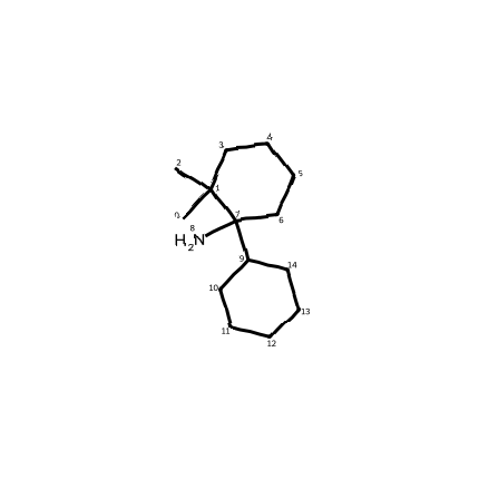 CC1(C)CCCCC1(N)C1CCCCC1